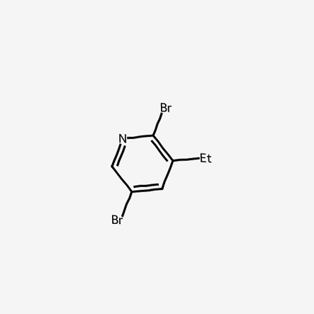 CCc1cc(Br)cnc1Br